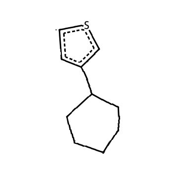 [c]1cc(C2CCCCC2)cs1